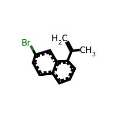 C=C(C)c1cccc2ccc(Br)cc12